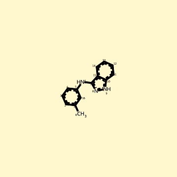 Cc1cccc(Nc2n[nH]c3ccccc23)c1